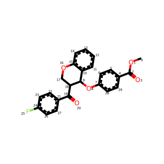 COC(=O)c1ccc(OC2c3ccccc3OCC2C(=O)c2ccc(F)cc2)cc1